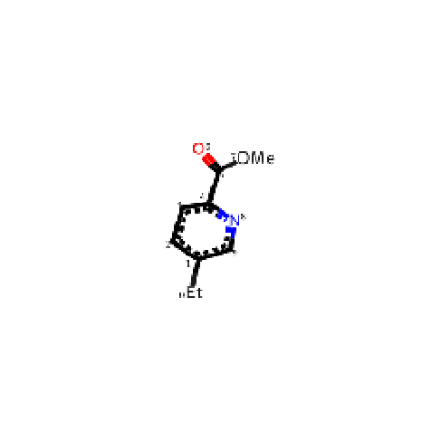 [CH2]Cc1ccc(C(=O)OC)nc1